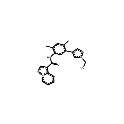 Cc1cc(F)c(-c2cnn(CC(F)(F)F)c2)cc1NC(=O)c1cnn2ccccc12